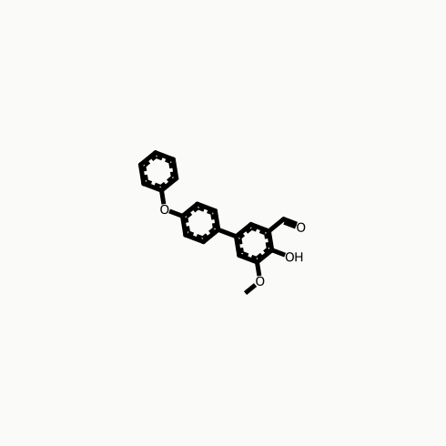 COc1cc(-c2ccc(Oc3ccccc3)cc2)cc(C=O)c1O